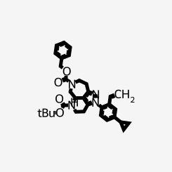 C=Cc1cc(C2CC2)ccc1-n1nc2c3c1CCN(C(=O)OC(C)(C)C)[C@H]3CN(C(=O)OCc1ccccc1)CC2